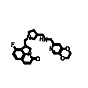 O=c1ccc2ccc(F)c3c2n1CC3CN1CCC(CNCc2cc3c(cn2)OCCO3)C1